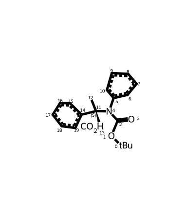 CC(C)(C)OC(=O)N(c1ccccc1)[C@](C)(C(=O)O)c1ccccc1